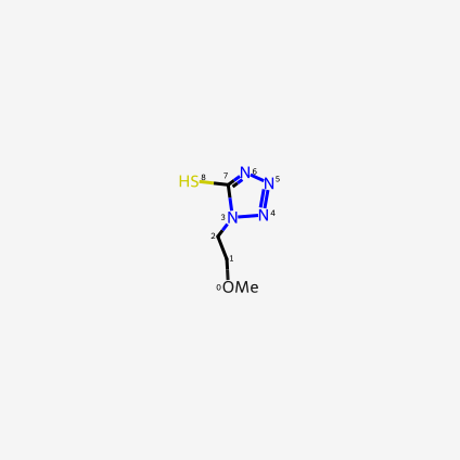 COCCn1nnnc1S